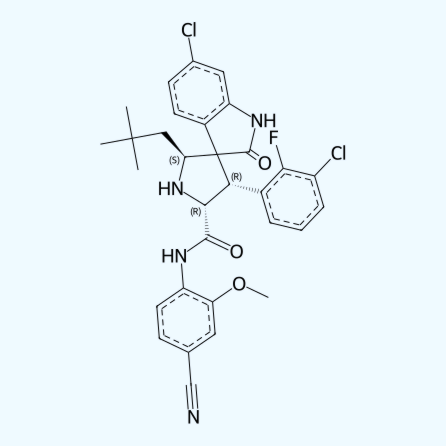 COc1cc(C#N)ccc1NC(=O)[C@@H]1N[C@@H](CC(C)(C)C)C2(C(=O)Nc3cc(Cl)ccc32)[C@@H]1c1cccc(Cl)c1F